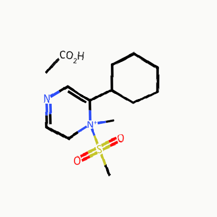 CC(=O)O.C[N+]1(S(C)(=O)=O)CC=NC=C1C1CCCCC1